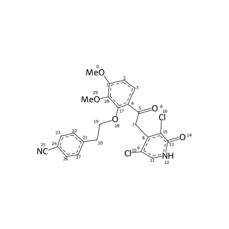 COc1ccc(C(=O)Cc2c(Cl)c[nH]c(=O)c2Cl)c(OCCc2ccc(C#N)cc2)c1OC